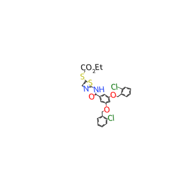 CCOC(=O)CSc1cnc(NC(=O)c2cc(OCc3ccccc3Cl)cc(OCc3ccccc3Cl)c2)s1